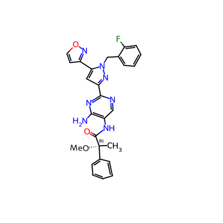 CO[C@@](C)(C(=O)Nc1cnc(-c2cc(-c3ccon3)n(Cc3ccccc3F)n2)nc1N)c1ccccc1